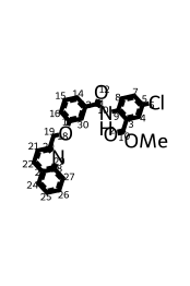 COC(=O)c1cc(Cl)ccc1NC(=O)c1cccc(OCc2ccc3ccccc3n2)c1